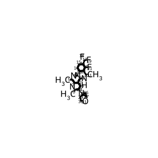 Cc1nc2c(C)nnc(N[C@H](C)c3cccc(C(F)F)c3F)c2cc1N1CC2CC1CO2